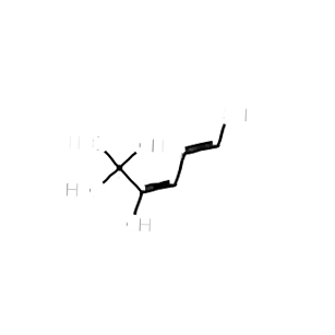 CC=CC=C(C)C(C)(C)C